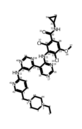 CCN1CCN(Cc2ccc(Nc3cc(-c4cncnc4Nc4c(Cl)c(OC)cc(C(=O)NC5CC5)c4Cl)ncn3)nc2)CC1